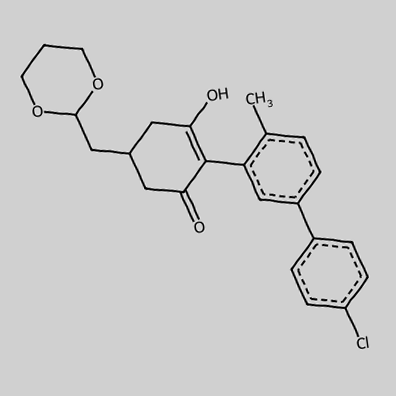 Cc1ccc(-c2ccc(Cl)cc2)cc1C1=C(O)CC(CC2OCCCO2)CC1=O